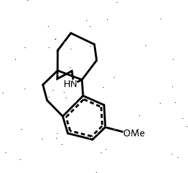 COc1ccc2c(c1)C13CCCCC1(CCN3)CC2